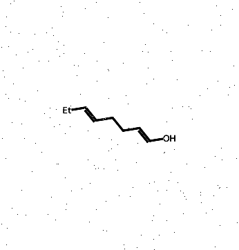 CCC=CCCC=CO